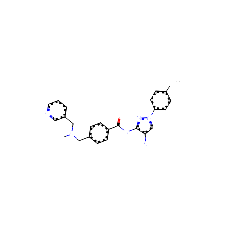 COc1ccc(-n2cc(N)c(NC(=O)c3ccc(CN(Cc4cccnc4)C(=O)O)cc3)n2)cc1